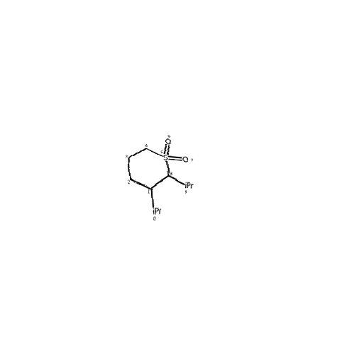 CC(C)C1CCCS(=O)(=O)C1C(C)C